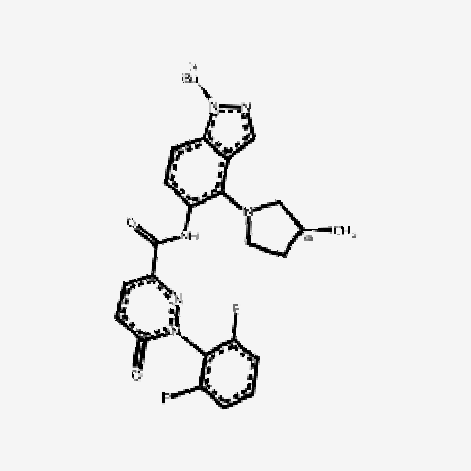 CC[C@H](C)n1ncc2c(N3CC[C@H](C)C3)c(NC(=O)c3ccc(=O)n(-c4c(F)cccc4F)n3)ccc21